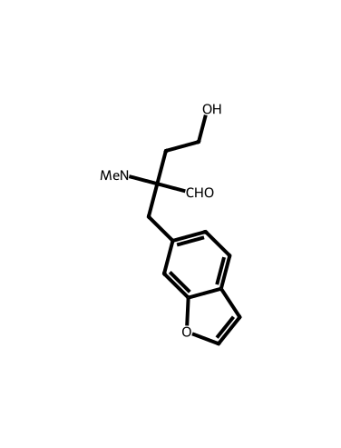 CNC(C=O)(CCO)Cc1ccc2ccoc2c1